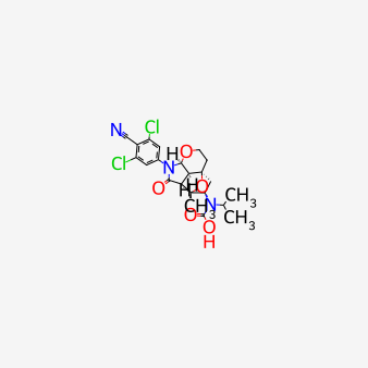 CC(C)N(C(=O)O)[C@@H]1C[C@@]23CCO[C@H]4[C@@H]2[C@H](C(=O)N4c2cc(Cl)c(C#N)c(Cl)c2)[C@]1(C)O3